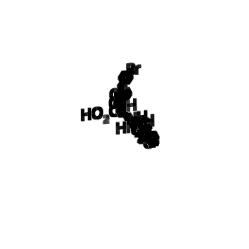 Cc1c(C)c(S(=O)(=O)NC(=N)NCCC[C@H](NC(=O)c2cccn(Cc3ccc(Br)cc3)c2=O)C(=O)O)c(C)c2c1OC(C)(C)CC2